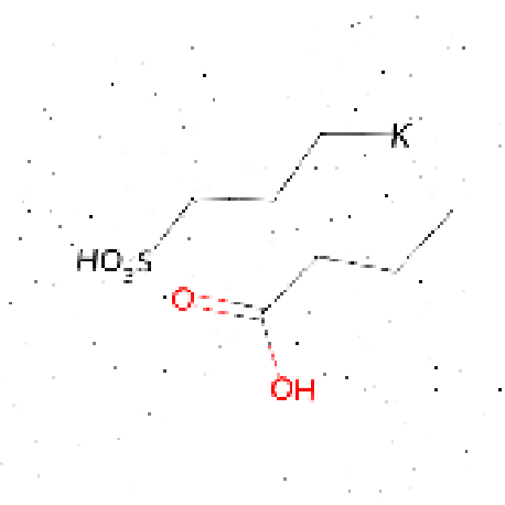 CCCC(=O)O.O=S(=O)(O)CC[CH2][K]